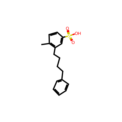 Cc1ccc(S(=O)(=O)O)cc1CCCCc1ccccc1